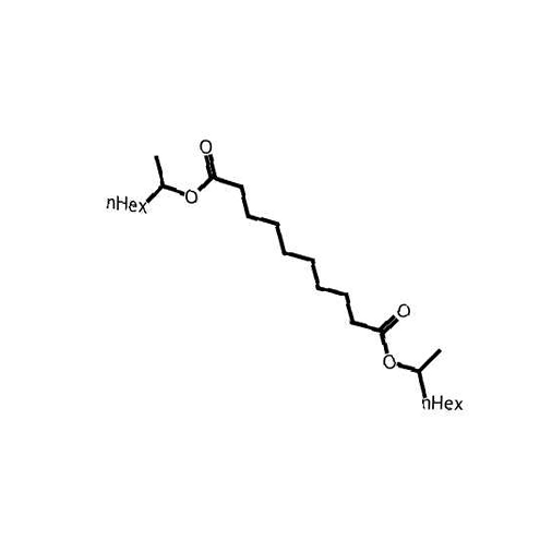 CCCCCCC(C)OC(=O)CCCCCCCCC(=O)OC(C)CCCCCC